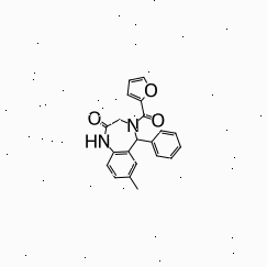 Cc1ccc2c(c1)C(c1ccccc1)N(C(=O)c1ccco1)CC(=O)N2